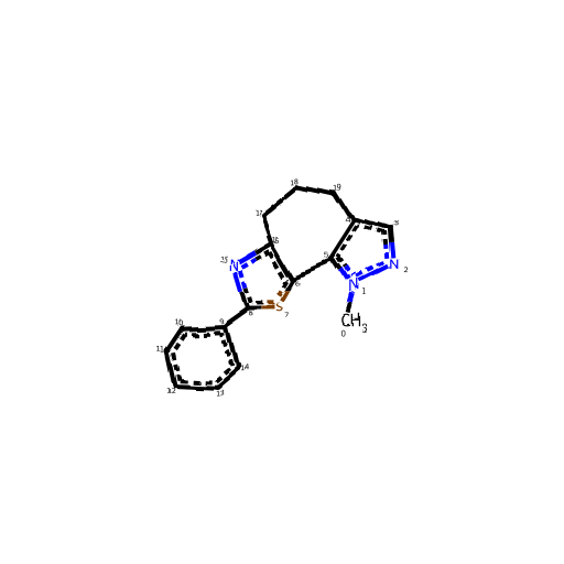 Cn1ncc2c1-c1sc(-c3ccccc3)nc1CCC2